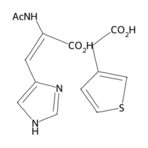 CC(=O)NC(=Cc1c[nH]cn1)C(=O)O.O=C(O)Cc1ccsc1